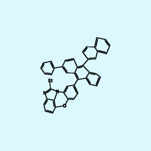 CCc1nc2cccc3c2n1-c1cc(-c2c4ccccc4c(-c4ccc5ccccc5c4)c4ccc(-c5ccccc5)cc24)ccc1O3